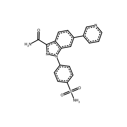 NC(=O)c1nn(-c2ccc(S(N)(=O)=O)cc2)c2cc(-c3cccnc3)ccc12